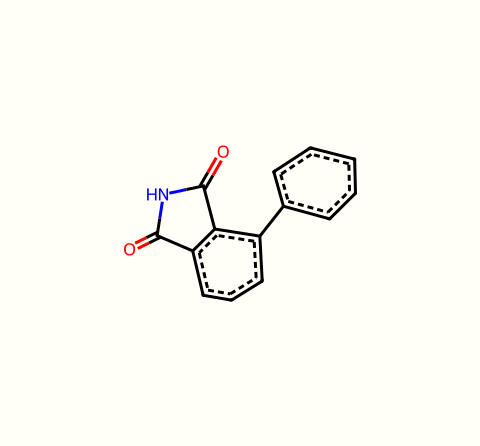 O=C1NC(=O)c2c1cccc2-c1ccccc1